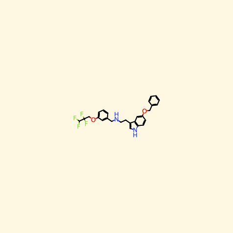 FC(F)C(F)(F)COc1cccc(CNCCc2c[nH]c3ccc(OCc4ccccc4)cc23)c1